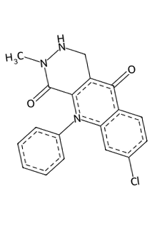 CN1NCc2c(n(-c3ccccc3)c3cc(Cl)ccc3c2=O)C1=O